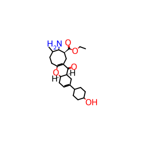 CCOC(=O)[C@H]1CC2=C(CCC(C)[C@H]1N)O[C@@H]1CC=C(C3CCC(O)CC3)C[C@@H]1C2=O